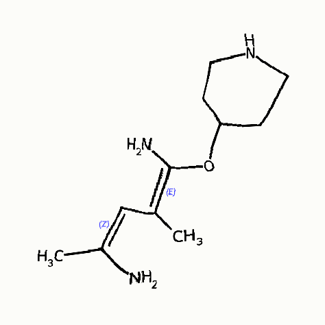 C/C(N)=C/C(C)=C(\N)OC1CCNCC1